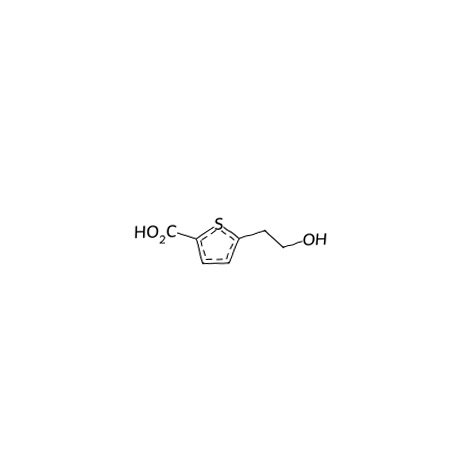 O=C(O)c1ccc(CCO)s1